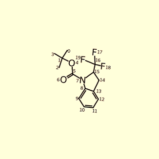 CC(C)(C)OC(=O)N1c2ccccc2CC1C(F)(F)F